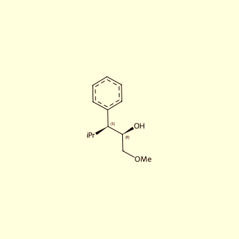 COC[C@H](O)[C@H](c1ccccc1)C(C)C